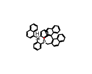 c1ccc([Si@@H](c2ccccc2P2Cc3ccc4ccccc4c3-c3c(ccc4ccccc34)C2)c2cccc3ccccc23)cc1